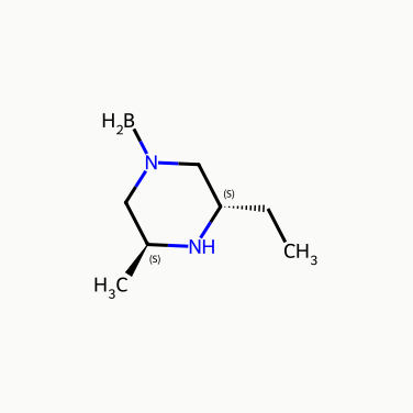 BN1C[C@H](CC)N[C@@H](C)C1